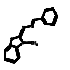 Cn1c(=NN=Cc2ccccc2)sc2ccccc21